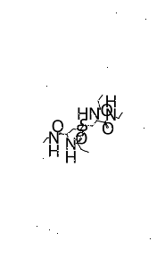 CCNC(=O)C(CSSCC(NC(=O)CC)C(=O)NCC)NC(=O)CC